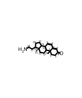 CC12CCC(=O)C=C1C=CC1C2CC[C@]2(C)C(CCN)CCC12